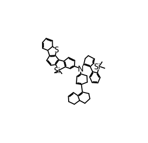 C[Si]1(C)C2=CCCC(N(C3=CC=C(C4=C5C=CCCC5CCC4)CC3)c3ccc4c(c3)[Si](C)(C)c3ccc5c(c3-4)SC3C=CC=CC53)=C2c2ccccc21